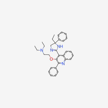 CCN(CC)CCOc1c(-c2ccccc2)nc2ccccc2c1C1=NCC(CC)(c2ccccc2)N1